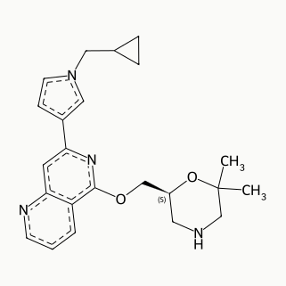 CC1(C)CNC[C@@H](COc2nc(-c3ccn(CC4CC4)c3)cc3ncccc23)O1